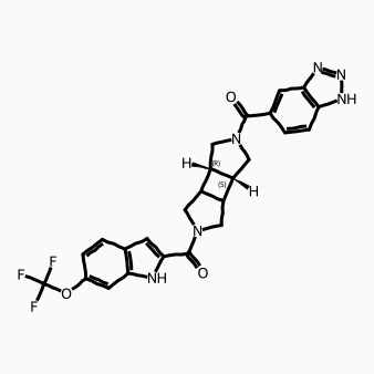 O=C(c1ccc2[nH]nnc2c1)N1C[C@@H]2C3CN(C(=O)c4cc5ccc(OC(F)(F)F)cc5[nH]4)CC3[C@@H]2C1